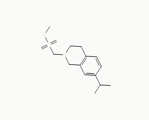 CNS(=O)(=O)CN1CCc2ccc(C(C)C)cc2C1